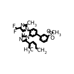 C=C/C=C\C(=C/C)c1cnnn1-c1cc(-c2cccc(S(C)(=O)=O)c2)ccc1-n1cc(C(F)F)nc1C